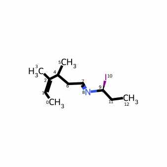 C/C=C(/C)C(C)C/C=N/[C@@H](I)CC